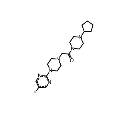 O=C(CN1CCN(c2ncc(F)cn2)CC1)N1CCN(C2CCCC2)CC1